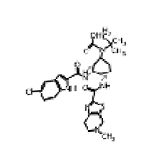 CN1CCc2nc(C(=O)N[C@H]3CCC(N(C(=O)O)C(C)(C)C)C[C@H]3NC(=O)c3cc4cc(Cl)ccc4[nH]3)sc2C1